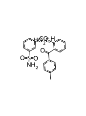 Cc1ccc(C(=O)c2ccccc2C(=O)O)cc1.NS(=O)(=O)c1cccc(C(=O)O)c1